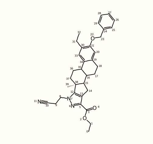 CCOC(=O)c1nn(CCC#N)c2c1CC1C3CCc4cc(OCc5ccccc5)c(CC)cc4C3CC[C@]21C